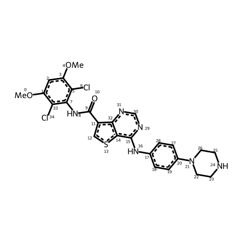 COc1cc(OC)c(Cl)c(NC(=O)c2csc3c(Nc4ccc(N5CCNCC5)cc4)ncnc23)c1Cl